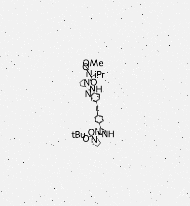 COO/C=N/[C@H](C(=O)N1CCC[C@H]1c1nc2cc(C#Cc3ccc(-c4c[nH]c([C@@H]5CCCN5C(=O)OC(C)(C)C)n4)cc3)ccc2[nH]1)C(C)C